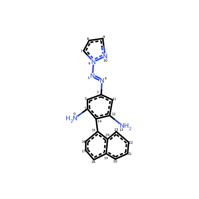 Nc1cc(/N=N/n2cccn2)cc(N)c1-c1cccc2ccccc12